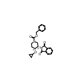 O=C(OCc1ccccc1)N1CC[C@@H](OC2CC2)[C@@H](N2C(=O)c3ccccc3C2=O)C1